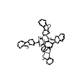 C1=CC2c3ccccc3SC2C=C1c1nc(-c2ccc3c(c2)sc2ccccc23)nc(-c2cc3c(cc2-n2c4cc5ccccc5cc4c4cc5ccccc5cc42)oc2ccccc23)n1